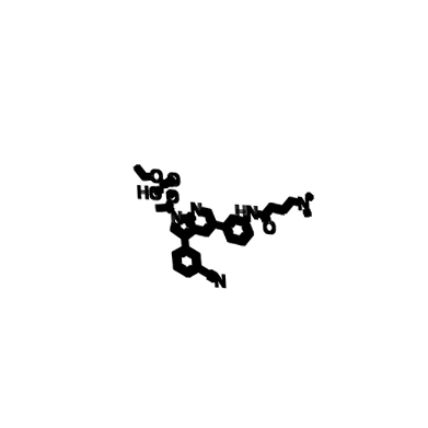 CCOP(=O)(O)OC(C)n1cc(-c2cccc(C#N)c2)c2cc(-c3cccc(NC(=O)C=CCN(C)C)c3)cnc21